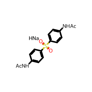 CC(=O)Nc1ccc(S(=O)(=O)c2ccc(NC(C)=O)cc2)cc1.[NaH]